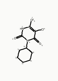 O=c1[nH]c(C(F)(F)F)c(Cl)c(=O)n1C1CCCCC1